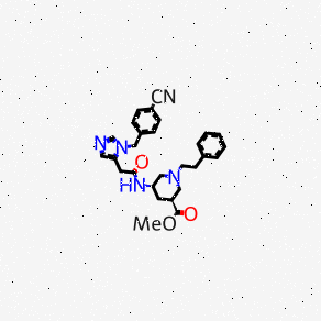 COC(=O)[C@H]1C[C@@H](NC(=O)Cc2cncn2Cc2ccc(C#N)cc2)CN(CCc2ccccc2)C1